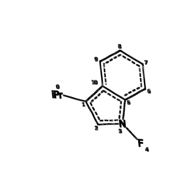 CC(C)c1cn(F)c2ccccc12